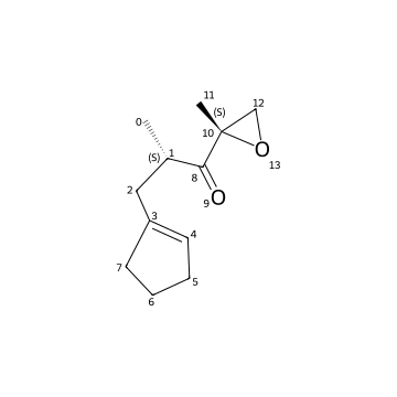 C[C@@H](CC1=CCCC1)C(=O)[C@]1(C)CO1